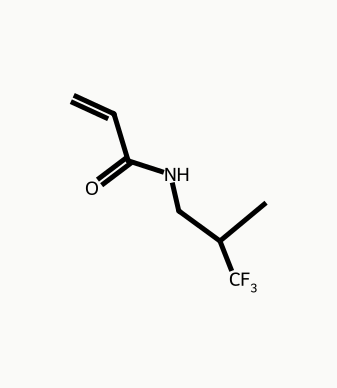 C=CC(=O)NCC(C)C(F)(F)F